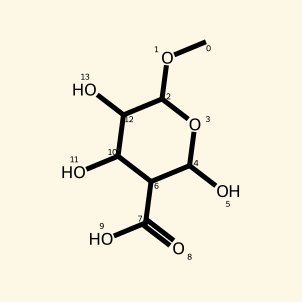 COC1OC(O)C(C(=O)O)C(O)C1O